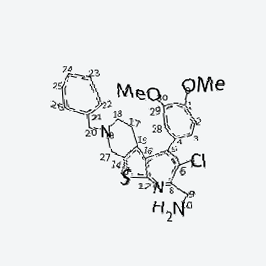 COc1ccc(-c2c(Cl)c(CN)nc3sc4c(c23)CCN(Cc2ccccc2)C4)cc1OC